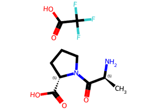 C[C@H](N)C(=O)N1CCC[C@H]1C(=O)O.O=C(O)C(F)(F)F